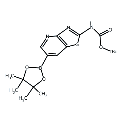 CC(C)(C)OC(=O)Nc1nc2ncc(B3OC(C)(C)C(C)(C)O3)cc2s1